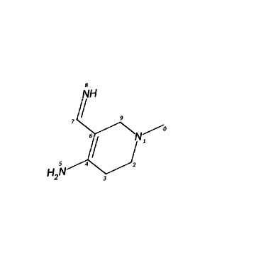 CN1CCC(N)=C(C=N)C1